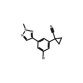 Cn1ncc(-c2cc(Br)cc(C3(C#N)CC3)c2)n1